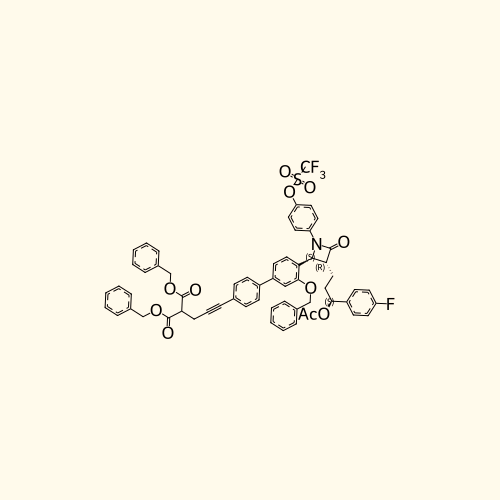 CC(=O)O[C@@H](CC[C@H]1C(=O)N(c2ccc(OS(=O)(=O)C(F)(F)F)cc2)[C@@H]1c1ccc(-c2ccc(C#CCC(C(=O)OCc3ccccc3)C(=O)OCc3ccccc3)cc2)cc1OCc1ccccc1)c1ccc(F)cc1